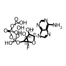 C[C@]1(O)[C@H](n2cnc3c(N)ncnc32)O[C@]2(F)C(OP(=O)(O)OP(=O)(O)OP(=O)(O)O)[C@]12O